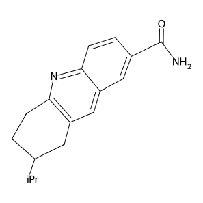 CC(C)C1CCc2nc3ccc(C(N)=O)cc3cc2C1